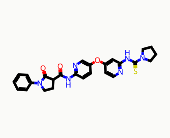 O=C(Nc1ccc(Oc2ccnc(NC(=S)N3CCCC3)c2)cn1)C1CCN(c2ccccc2)C1=O